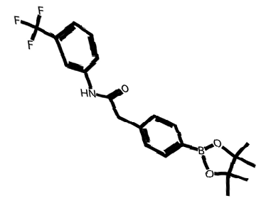 CC1(C)OB(c2ccc(CC(=O)Nc3cccc(C(F)(F)F)c3)cc2)OC1(C)C